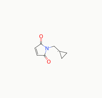 O=C1C=CC(=O)N1C[C]1CC1